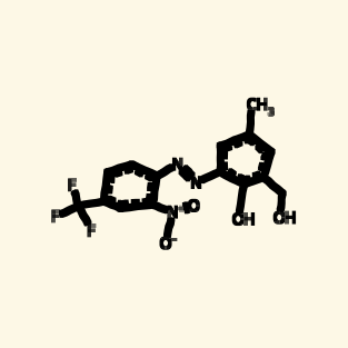 Cc1cc(CO)c(O)c(/N=N/c2ccc(C(F)(F)F)cc2[N+](=O)[O-])c1